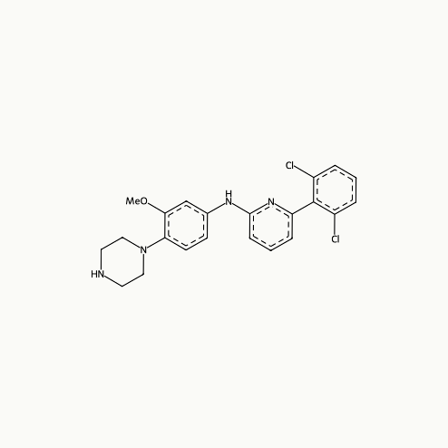 COc1cc(Nc2cccc(-c3c(Cl)cccc3Cl)n2)ccc1N1CCNCC1